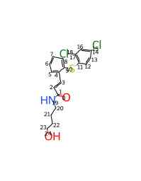 O=C(C=Cc1ccccc1Sc1ccc(Cl)cc1Cl)NCCCCO